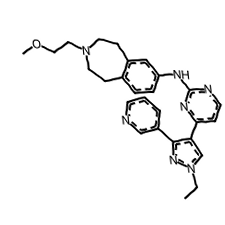 CCn1cc(-c2ccnc(Nc3ccc4c(c3)CCN(CCOC)CC4)n2)c(-c2cccnc2)n1